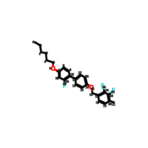 CCCCCCOc1ccc(-c2ccc(OCc3ccc(C)c(F)c3F)cc2)c(F)c1